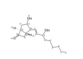 CCCCCCC(O)C=CC1C(O)C[C@@H]2C(=O)C[C@@H]12